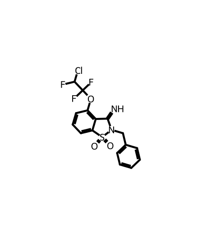 N=C1c2c(OC(F)(F)C(F)Cl)cccc2S(=O)(=O)N1Cc1ccccc1